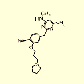 CNc1cc(C)nc(Cc2ccc(C#N)c(OCCCN3CCCC3)c2)n1